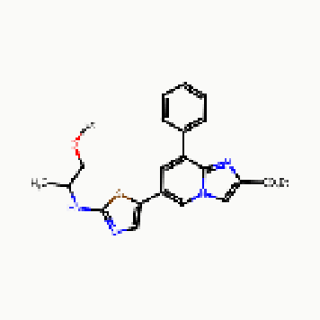 CCOCC(C)Nc1ncc(-c2cc(-c3ccccc3)c3nc(C(=O)OCC)cn3c2)s1